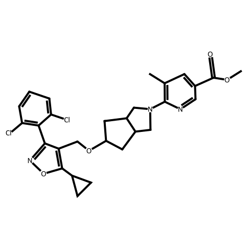 COC(=O)c1cnc(N2CC3CC(OCc4c(-c5c(Cl)cccc5Cl)noc4C4CC4)CC3C2)c(C)c1